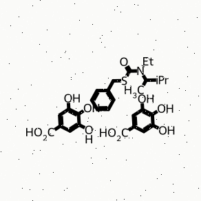 CCN(C(=O)SCc1ccccc1)C(C)C(C)C.O=C(O)c1cc(O)c(O)c(O)c1.O=C(O)c1cc(O)c(O)c(O)c1